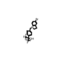 OC(c1ccc(CN2CCc3cc(Br)ccc32)cc1)(C(F)(F)F)C(F)(F)F